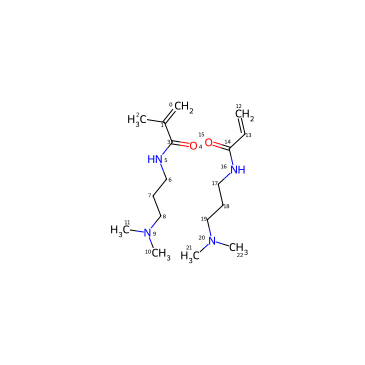 C=C(C)C(=O)NCCCN(C)C.C=CC(=O)NCCCN(C)C